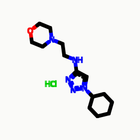 Cl.c1c(NCCN2CCOCC2)nnn1C1CCCCC1